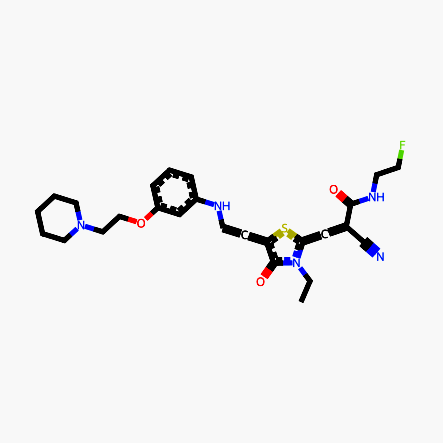 CCn1c(=C=C(C#N)C(=O)NCCF)sc(=C=CNc2cccc(OCCN3CCCCC3)c2)c1=O